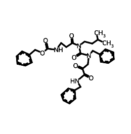 CC(C)CCN(C(=O)CCNC(=O)OCc1ccccc1)C(=O)N(CC(=O)C(=O)NCc1ccccc1)Cc1ccccc1